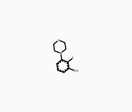 [CH]c1cccc(N2CCOCC2)c1F